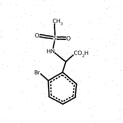 CS(=O)(=O)NC(C(=O)O)c1ccccc1Br